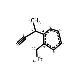 [C]#CC(C)c1ccccc1CC(C)C